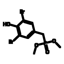 COP(=O)(Cc1cc(Br)c(O)c(Br)c1)OC